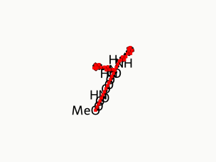 COCCOCCOCCC(=O)NCCCOCCOCCOCCCNC(=O)[C@@H](CCCCNC(C)c1ccc(/C=C(\C)c2ccc3c(c2)C(C)(C)CCC3(C)C)cc1)NC(=O)c1ccc(/C=C(\C)c2ccc3c(c2)C(C)(C)CCC3(C)C)cc1